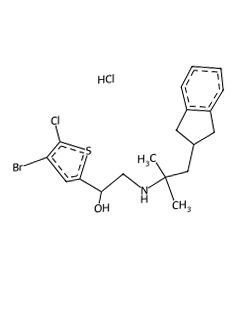 CC(C)(CC1Cc2ccccc2C1)NCC(O)c1cc(Br)c(Cl)s1.Cl